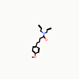 C=CCN(CC=C)C(=O)CCCc1ccc(OC)cc1